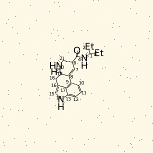 CCC(CC)NC(=O)C1C=C2c3cccc4[nH]cc(c34)C[C@H]2NC1